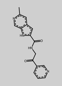 Cc1cc2cc(C(=O)NCC(=O)c3cccnc3)[nH]c2cn1